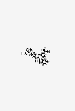 CN(C)C(=O)Cn1cc(NC(=O)c2cnc3ccc(F)cc3c2-c2ccc(C3(C#N)CC3)cc2)cn1